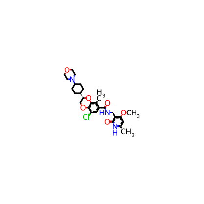 COc1cc(C)[nH]c(=O)c1CNC(=O)c1cc(Cl)c2c(c1C)O[C@@H](C1CCC(N3CCOCC3)CC1)CO2